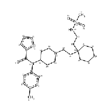 Cc1ccc(N(C(=O)c2ccco2)C2CCN(CCC3(CCNS(C)(=O)=O)CCCCC3)CC2)nc1